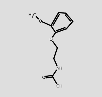 COc1ccccc1OCCNC(=O)O